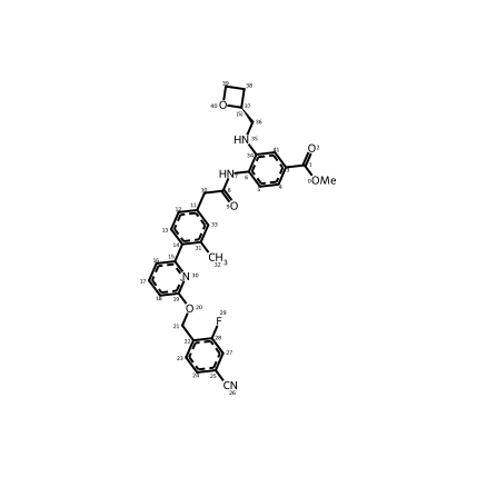 COC(=O)c1ccc(NC(=O)Cc2ccc(-c3cccc(OCc4ccc(C#N)cc4F)n3)c(C)c2)c(NC[C@@H]2CCO2)c1